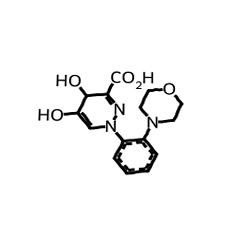 O=C(O)C1=NN(c2ccccc2N2CCOCC2)C=C(O)C1O